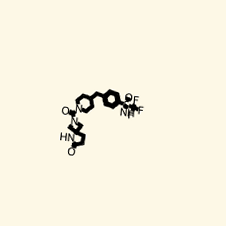 N=S(=O)(c1ccc(CC2CCN(C(=O)N3CC4(CCC(=O)N4)C3)CC2)cc1)C(F)(F)F